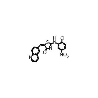 O=C1N=C(Nc2cc([N+](=O)[O-])ccc2Cl)SC1=Cc1ccc2ncccc2c1